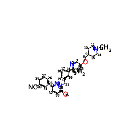 C=C(/N=C\C(=C/C)OCC1CCN(C)CC1)c1cccc(Cn2nc(-c3cccc(C#N)c3)ccc2=O)c1